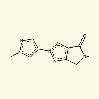 Cn1cc(-n2cc3c(n2)CNC3=O)cn1